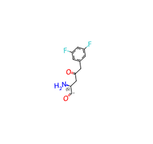 N[C@H]([C]=O)CC(=O)Cc1cc(F)cc(F)c1